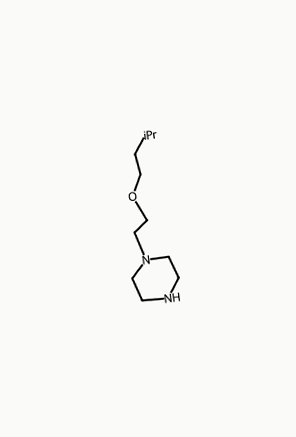 CC(C)CCOCCN1CCNCC1